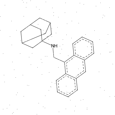 c1ccc2c(CNC34CC5CC(CC(C5)C3)C4)c3ccccc3cc2c1